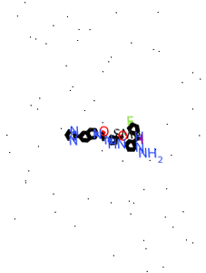 CS[C@@]1(C(=O)Nc2ccc(NN)c(C(I)c3ccc(F)cc3)c2)CCN(CC(=O)N2CCc3cc(-c4ncccn4)ccc3C2)C1